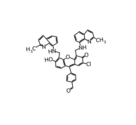 Cc1ccc2cccc(NCc3c4oc5c(CNc6cccc7ccc(C)nc67)c(O)ccc5c(-c5ccc(C=O)cc5)c-4cc(Cl)c3=O)c2n1